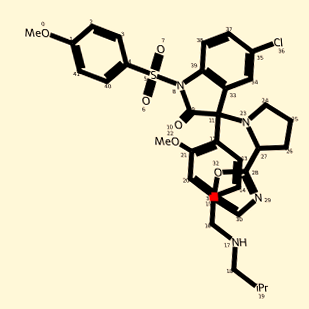 COc1ccc(S(=O)(=O)N2C(=O)C(c3ccc(CNCC(C)C)cc3OC)(N3CCCC3c3ncco3)c3cc(Cl)ccc32)cc1